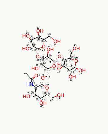 CC(=O)N[C@H]1[C@H](OC[C@H]2O[C@@H](O[C@H]3[C@H](O)[C@@H](O)[C@H](O)O[C@@H]3CO)[C@H](O)[C@@H](O[C@H]3O[C@H](CO)[C@H](O)[C@H](O)[C@H]3O)[C@H]2O)O[C@H](CO)[C@@H](O)[C@@H]1O